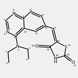 CCN(CC)c1ncnc2ccc(C=C3SC(=O)NC3=O)cc12